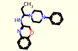 CCC(NC1=Nc2ccccc2OC1)N1CCN(c2ccccc2)CC1